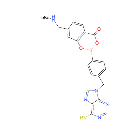 CCCCNCc1ccc2c(c1)OB(c1ccc(Cn3cnc4c(S)ncnc43)cc1)OC2=O